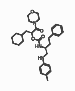 Cc1ccc(NC[C@H](CCc2ccccc2)NC(=O)O[C@@H](CC2CCCCC2)C(=O)N2CCOCC2)cc1